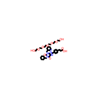 O=C(O)C=Cc1ccc(-c2nc3c(=O)n(CC4CCCCC4)c(=O)n(CC4CCCCC4)c3[nH]2)cc1.OCCOCCOCCOCCOCCOCCO